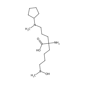 CB(O)CCCCC(N)(CCCN(C)C1CCCC1)C(=O)O